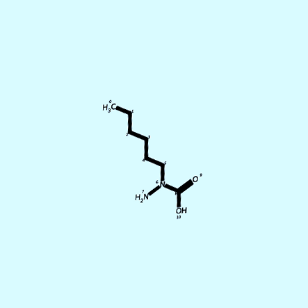 CCCCCCN(N)C(=O)O